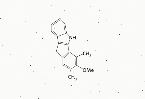 COc1c(C)cc2c(c1C)-c1[nH]c3ccccc3c1C2